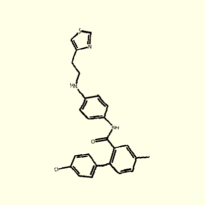 Cc1ccc(-c2ccc(Cl)cc2)c(C(=O)Nc2ccc(NCCc3cscn3)cc2)c1